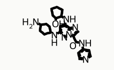 NC1CCC(Nc2cc(NC3CCCCC3O)c3ncc(C(=O)Nc4ccncc4)n3n2)CC1